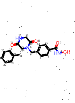 O=C(NO)c1ccc(CN2C(=O)CNC(=O)[C@H]2Cc2ccccc2)cc1